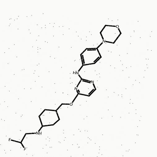 FC(F)CNC1CCC(COc2ccnc(Nc3ccc(N4CCOCC4)cc3)n2)CC1